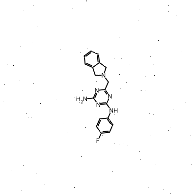 Nc1nc(CN2Cc3ccccc3C2)nc(Nc2ccc(F)cc2)n1